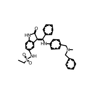 CCS(=O)(=O)Nc1ccc2c(c1)C(=C(Nc1ccc(CN(C)Cc3ccccc3)cc1)c1ccccc1)C(=O)N2